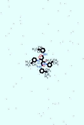 CC(C)(C)C1CCCC(NC(=O)CC(C(=O)NC2CCCC(C(C)(C)C)C2)C(CC(=O)NC2CCCC(C(C)(C)C)C2)C(=O)NC2CCCC(C(C)(C)C)C2)C1